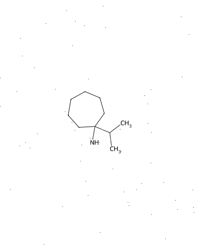 CC(C)C1([NH])CCCCCC1